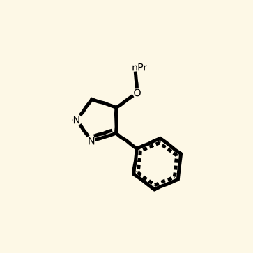 CCCOC1C[N]N=C1c1ccccc1